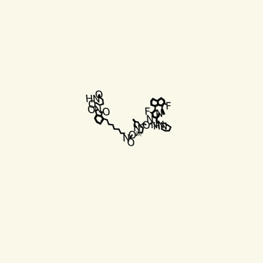 C#Cc1c(F)ccc2cccc(-c3ncc4c(N5CC6CCC(C5)N6)nc(OC[C@@]56CC[C@@H](COC(=O)N(C)CCCCCCCc7cccc8c7C(=O)N(C7CCC(=O)NC7=O)C8=O)N5CC(=C)C6)nc4c3F)c12